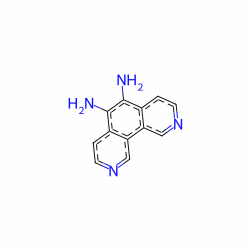 Nc1c(N)c2ccncc2c2cnccc12